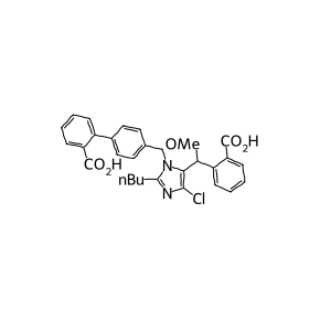 CCCCc1nc(Cl)c(C(OC)c2ccccc2C(=O)O)n1Cc1ccc(-c2ccccc2C(=O)O)cc1